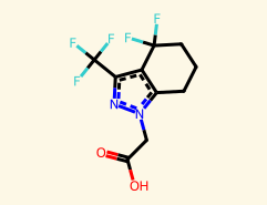 O=C(O)Cn1nc(C(F)(F)F)c2c1CCCC2(F)F